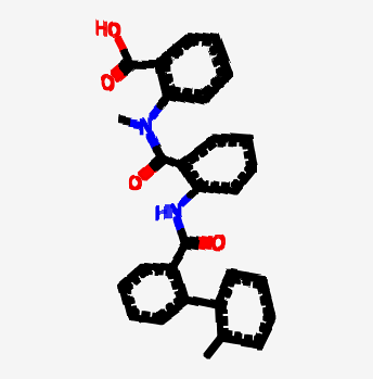 Cc1ccccc1-c1ccccc1C(=O)Nc1ccccc1C(=O)N(C)c1ccccc1C(=O)O